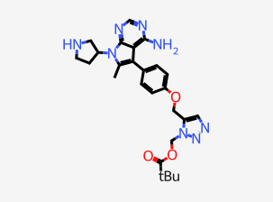 Cc1c(-c2ccc(OCc3cnnn3COC(=O)C(C)(C)C)cc2)c2c(N)ncnc2n1C1CCNC1